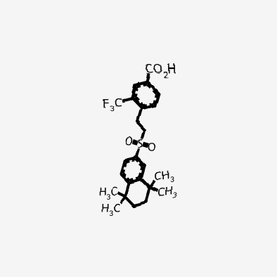 CC1(C)CCC(C)(C)c2cc(S(=O)(=O)CCc3ccc(C(=O)O)cc3C(F)(F)F)ccc21